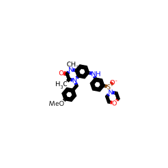 COc1ccc(CN2c3cc(Nc4cccc([S+]([O-])N5CCOCC5)c4)ccc3N(C)C(=O)C2C)cc1